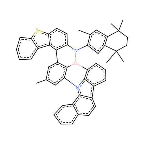 Cc1cc2c3c(c1)-n1c4c(cccc4c4ccc5ccccc5c41)B3N(c1cc3c(cc1C)C(C)(C)CCC3(C)C)c1ccc3sc4ccccc4c3c1-2